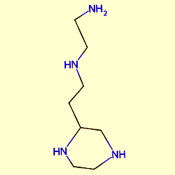 NCCNCCC1CNCCN1